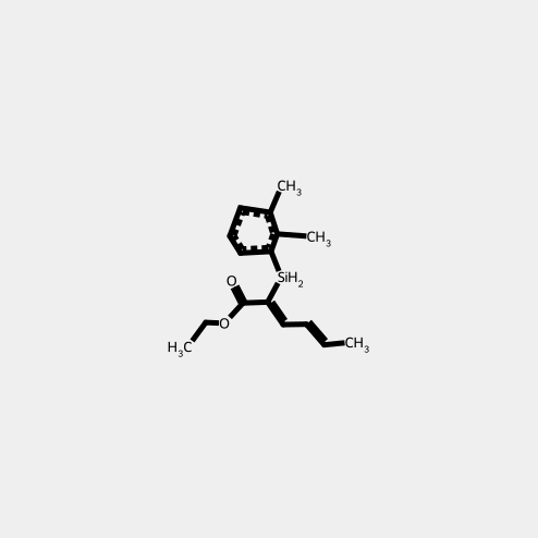 C/C=C/C=C(\[SiH2]c1cccc(C)c1C)C(=O)OCC